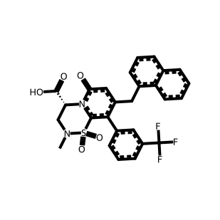 CN1C[C@H](C(=O)O)n2c(c(-c3cccc(C(F)(F)F)c3)c(Cc3cccc4ccccc34)cc2=O)S1(=O)=O